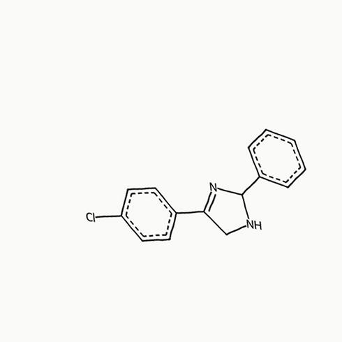 Clc1ccc(C2=NC(c3ccccc3)NC2)cc1